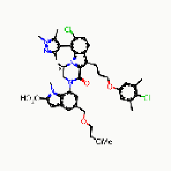 COCCOCc1cc(N2C[C@@H](C)n3c(c(CCCOc4cc(C)c(Cl)c(C)c4)c4ccc(Cl)c(-c5c(C)nn(C)c5C)c43)C2=O)c2c(c1)cc(C(=O)O)n2C